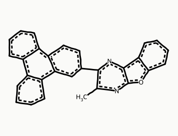 Cc1nc2oc3ccccc3c2nc1-c1ccc2c3ccccc3c3ccccc3c2c1